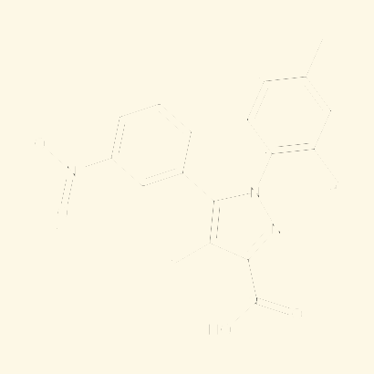 Cc1ccc(-n2nc(C(=O)O)c(C)c2-c2cccc([N+](=O)[O-])c2)c(C)c1